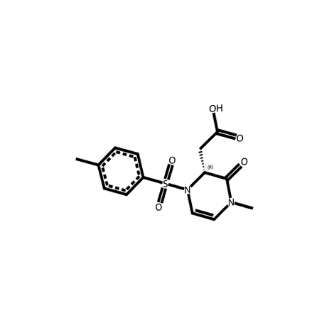 Cc1ccc(S(=O)(=O)N2C=CN(C)C(=O)[C@H]2CC(=O)O)cc1